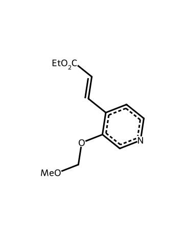 CCOC(=O)C=Cc1ccncc1OCOC